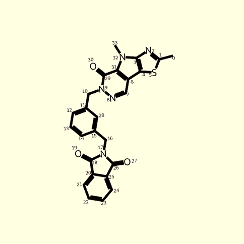 Cc1nc2c(s1)c1cnn(Cc3cccc(CN4C(=O)c5ccccc5C4=O)c3)c(=O)c1n2C